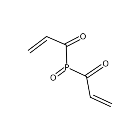 C=CC(=O)[P](=O)C(=O)C=C